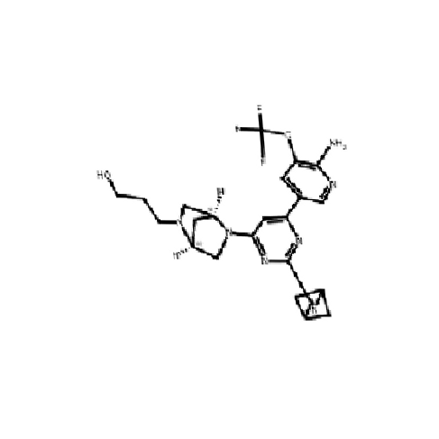 Nc1ncc(-c2cc(N3C[C@@H]4C[C@H]3CN4CCCO)nc(N3CC4CC3C4)n2)cc1OC(F)(F)F